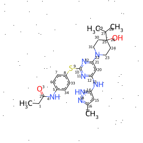 CCC(=O)Nc1ccc(Sc2nc(Nc3cc(C)n[nH]3)cc(N3CCC(O)(C(C)C)CC3)n2)cc1